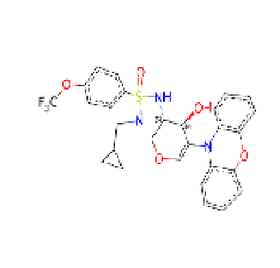 O=S(=NCC1CC1)(N[C@H]1COC=C(N2c3ccccc3Oc3ccccc32)[C@@H]1O)c1ccc(OC(F)(F)F)cc1